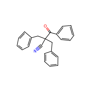 N#CC(Cc1ccccc1)(Cc1ccccc1)C(=O)c1ccccc1